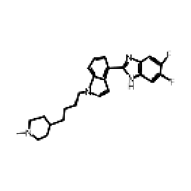 CN1CCC(CCCCn2ccc3c(-c4nc5cc(F)c(F)cc5[nH]4)cccc32)CC1